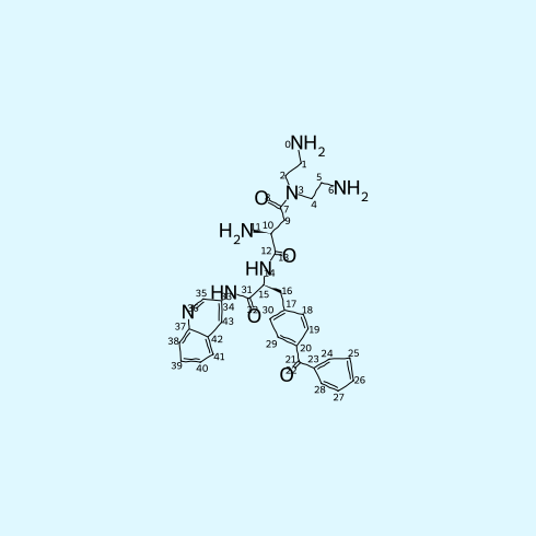 NCCN(CCN)C(=O)C[C@H](N)C(=O)N[C@@H](Cc1ccc(C(=O)c2ccccc2)cc1)C(=O)Nc1cnc2ccccc2c1